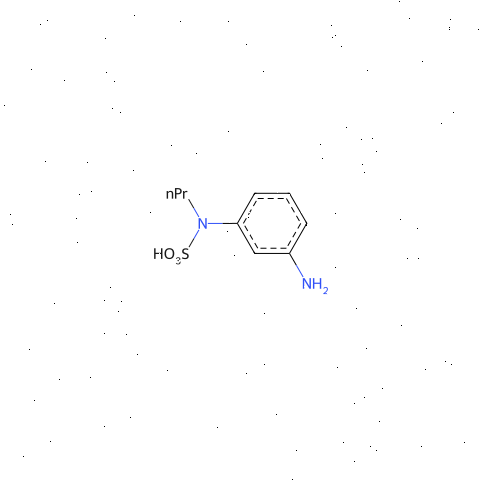 CCCN(c1cccc(N)c1)S(=O)(=O)O